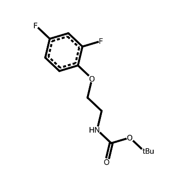 CC(C)(C)OC(=O)NCCOc1ccc(F)cc1F